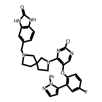 CC(C)n1nccc1-c1cc(F)ccc1Oc1cnc(Cl)nc1N1CCC2(CCN(Cc3ccc4[nH]c(=O)[nH]c4c3)C2)C1